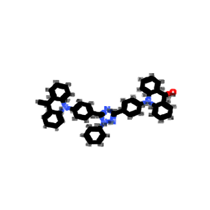 C=C1c2ccccc2N(c2ccc(-c3nc(-c4ccc(-n5c6ccccc6c(=O)c6ccccc65)cc4)nn3-c3ccccc3)cc2)c2ccccc21